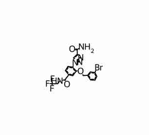 NC(=O)c1cn(-c2ccc(C(=O)NCC(F)(F)F)cc2OCc2cccc(Br)c2)nn1